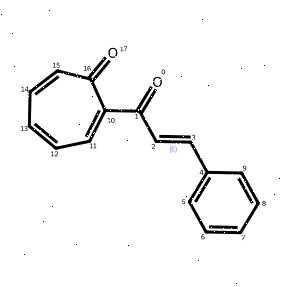 O=C(/C=C/c1ccccc1)c1cccccc1=O